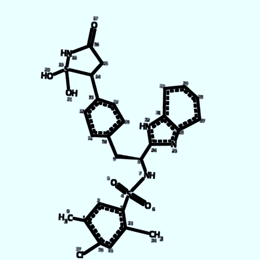 Cc1cc(S(=O)(=O)N[C@@H](Cc2ccc(C3CC(=O)NS3(O)O)cc2)c2nc3ccccc3[nH]2)c(C)cc1Cl